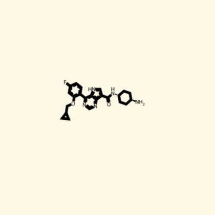 N[C@H]1CC[C@H](NC(=O)c2c[nH]c3c(-c4ccc(F)cc4OCC4CC4)ncnc23)CC1